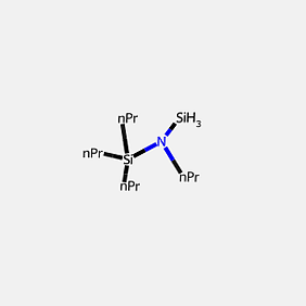 CCCN([SiH3])[Si](CCC)(CCC)CCC